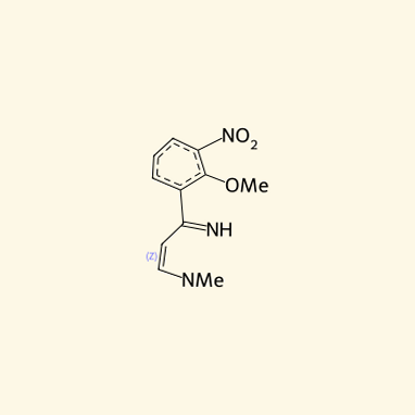 CN/C=C\C(=N)c1cccc([N+](=O)[O-])c1OC